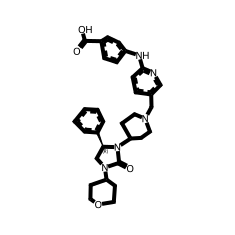 O=C(O)c1ccc(Nc2ccc(CN3CCC(N4C(=O)N(C5CCOCC5)C[C@H]4c4ccccc4)CC3)cn2)cc1